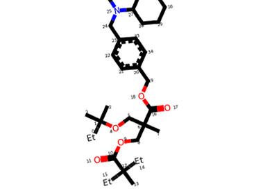 CCC(C)(C)OCC(C)(COC(=O)C(C)(CC)CC)C(=O)OCc1ccc(CN(C)C2CCCCC2)cc1